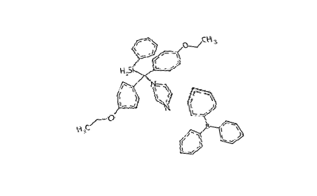 CCOc1ccc(C([SiH2]c2ccccc2)(c2ccc(OCC)cc2)n2ccnc2)cc1.c1ccc(B(c2ccccc2)c2ccccc2)cc1